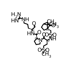 CC1(C)C2CC[C@@]1(CS(=O)(=O)N[C@@H](CCS(C)(=O)=O)C(=O)N1CCC[C@H]1C(=O)N[C@H](C=O)CCCNC(=N)N)C(=O)C2